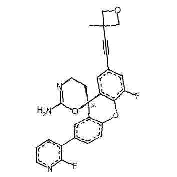 CC1(C#Cc2cc(F)c3c(c2)[C@]2(CCN=C(N)O2)c2cc(-c4cccnc4F)ccc2O3)COC1